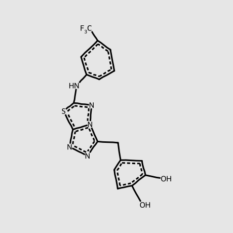 Oc1ccc(Cc2nnc3sc(Nc4cccc(C(F)(F)F)c4)nn23)cc1O